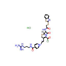 Cl.N=C(N)NCCCNC(=O)c1cc[n+](C/C=C/C2=C(C(=O)Cl)N3C(=O)[C@@H](NC(=O)CSc4nc5ccccc5s4)[C@H]3SC2)cc1